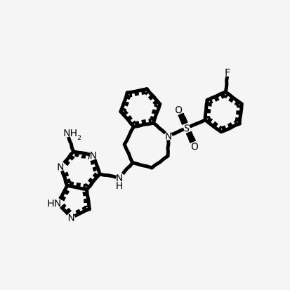 Nc1nc(NC2CCN(S(=O)(=O)c3cccc(F)c3)c3ccccc3C2)c2cn[nH]c2n1